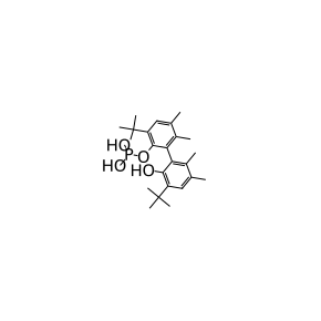 Cc1cc(C(C)(C)C)c(O)c(-c2c(C)c(C)cc(C(C)(C)C)c2OP(O)O)c1C